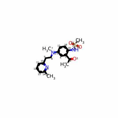 CC(=O)c1cc(N(C)CCc2cccc(C)n2)ccc1NS(C)(=O)=O